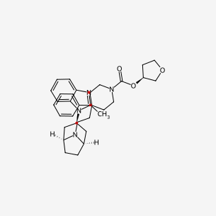 Cc1nc2ccccc2n1[C@H]1C[C@H]2CC[C@@H](C1)N2CCC1(c2ccccc2)CCN(C(=O)O[C@H]2CCOC2)CC1